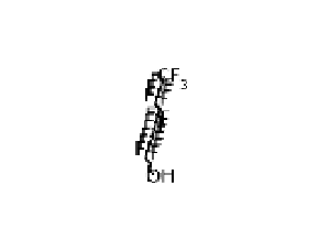 OCCCC(F)(F)C(F)(F)C(F)(F)C(F)(F)C(F)(F)C(F)(F)C=CC(F)(F)C(F)(F)C(F)(F)C(F)(F)F